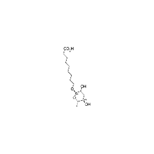 CC1O[C@@H](OCCCCCCCCC(=O)O)C(O)C[C@H]1O